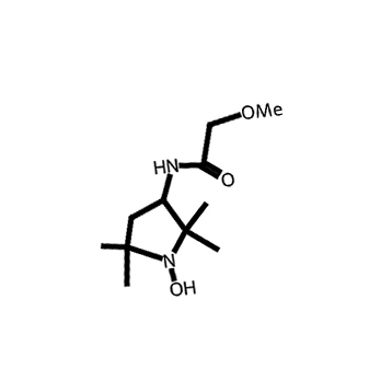 COCC(=O)NC1CC(C)(C)N(O)C1(C)C